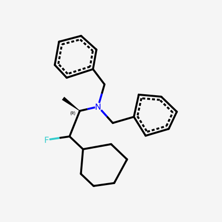 C[C@H](C(F)C1CCCCC1)N(Cc1ccccc1)Cc1ccccc1